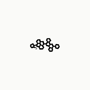 c1ccc(-c2cc3c4ccccc4c(-c4cc5cccc6c7c8ccccc8sc7c7cccc4c7c56)cc3c3ccccc23)cc1